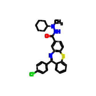 CN(NC(=O)c1ccc2c(c1)N=C(c1ccc(Cl)cc1)c1ccccc1S2)C1CCCCC1